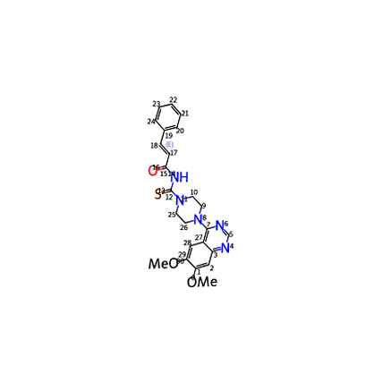 COc1cc2ncnc(N3CCN(C(=S)NC(=O)/C=C/c4ccccc4)CC3)c2cc1OC